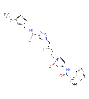 CO[C@H](C(=O)Nc1ccn(CCC(F)Cn2cc(C(=O)NCc3cccc(OC(F)(F)F)c3)nn2)c(=O)c1)c1ccccc1